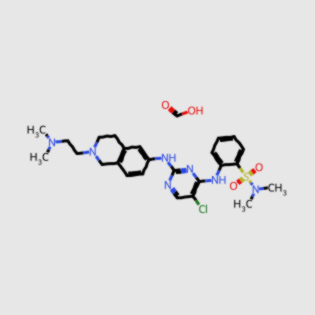 CN(C)CCN1CCc2cc(Nc3ncc(Cl)c(Nc4ccccc4S(=O)(=O)N(C)C)n3)ccc2C1.O=CO